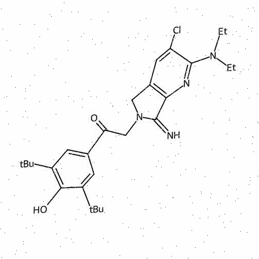 CCN(CC)c1nc2c(cc1Cl)CN(CC(=O)c1cc(C(C)(C)C)c(O)c(C(C)(C)C)c1)C2=N